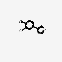 Clc1ccc(-c2[c]scc2)cc1Cl